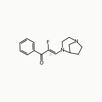 O=C(/C(F)=C/N1CCN2CCC1C2)c1ccccc1